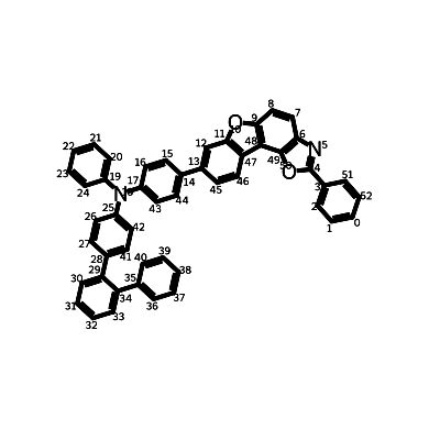 c1ccc(-c2nc3ccc4oc5cc(-c6ccc(N(c7ccccc7)c7ccc(-c8ccccc8-c8ccccc8)cc7)cc6)ccc5c4c3o2)cc1